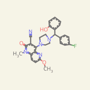 COc1ccc2c(n1)c(N1CCN(C(c3ccc(F)cc3)c3ccccc3O)CC1)c(C#N)c(=O)n2C